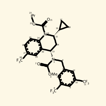 COC(=O)N(Cc1cc(C(F)(F)F)cc(C(F)(F)F)c1)[C@H]1C[C@@H](C2CC2)N(C(=O)OC(C)C)c2ccc(C(F)(F)F)cc21